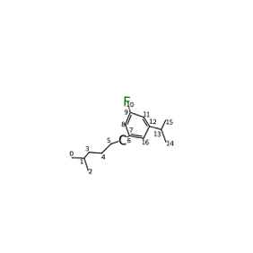 CC(C)CCCCc1cc(F)cc(C(C)C)c1